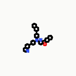 c1ccc2cc(-c3ccc(N(c4ccc(-c5ccc6cccnc6c5)cc4)c4ccc5oc6cc7ccccc7cc6c5n4)cc3)ccc2c1